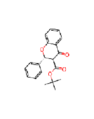 CC(C)(C)OC(=O)[C@@H]1C(=O)c2ccccc2O[C@H]1c1ccccc1